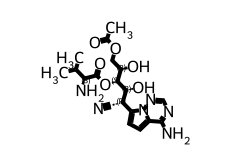 CC(=O)OC[C@@H](O)[C@@H](OC(=O)[C@@H](N)C(C)C)[C@H](O)[C@@H](C#N)c1ccc2c(N)ncnn12